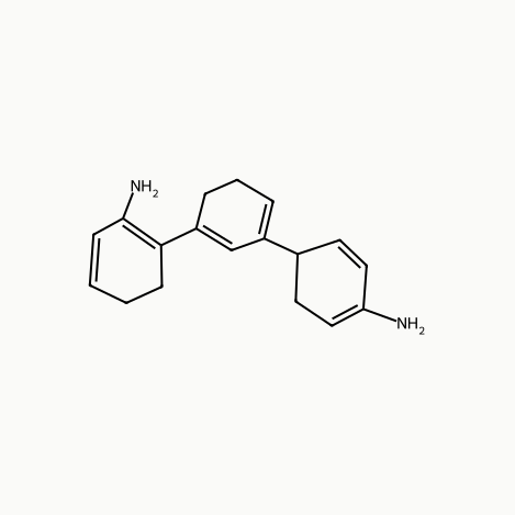 NC1=CCC(C2=CCCC(C3=C(N)C=CCC3)=C2)C=C1